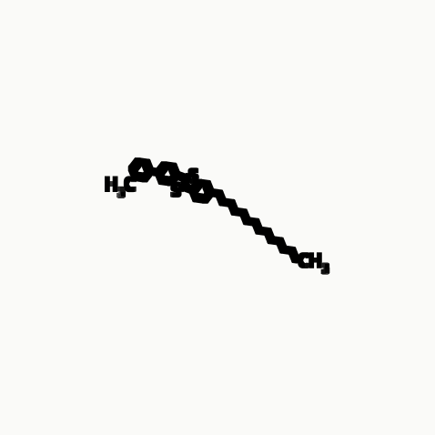 CCCCCCCCCCCCCCCc1ccc2c(c1)sc1c3ccc(-c4cccc(C)c4)cc3sc21